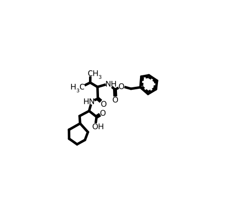 CC(C)C(NC(=O)OCc1ccccc1)C(=O)NC(CC1CCCCC1)C(=O)O